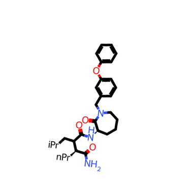 CCC[C@H](C(N)=O)C(CC(C)C)C(=O)N[C@H]1CCCCN(Cc2cccc(Oc3ccccc3)c2)C1=O